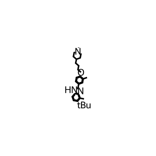 Cc1cc(-c2nc3c(C)c(C(C)(C)C)ccc3[nH]2)ccc1OCCCC1CCN(C)CC1